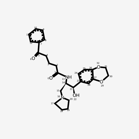 O=C(CCCC(=O)c1ccccc1)N[C@H](CN1CCCC1)[C@H](O)c1ccc2c(c1)OCCO2